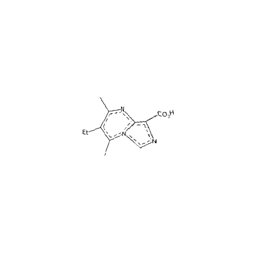 CCc1c(C)nc2c(C(=O)O)ncn2c1C